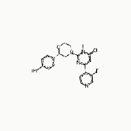 CC(C)c1ccc([C@H]2CN(c3nc(-c4ccncc4F)cc(=O)n3C)CCO2)cc1